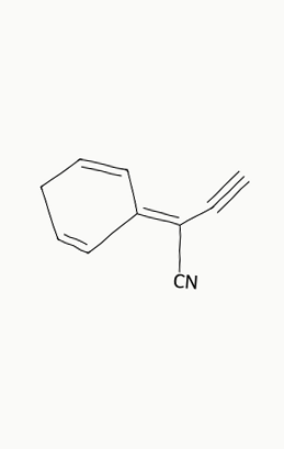 C#CC(C#N)=C1C=CCC=C1